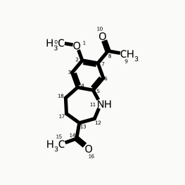 COc1cc2c(cc1C(C)=O)NCC(C(C)=O)CC2